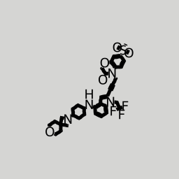 CS(=O)(=O)c1ccc2c(c1)OCC(=O)N2CC#Cc1cc2c(N[C@H]3CC[C@H](N4CC5(CCOCC5)C4)CC3)cccc2n1CC(F)(F)F